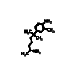 Cc1cc(C(C)(C)CCCC(C)N)ccc1N